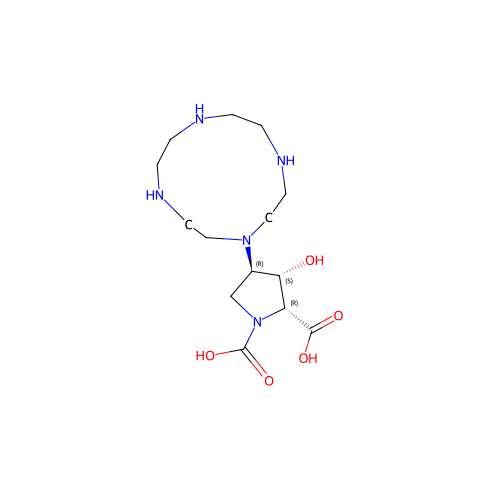 O=C(O)[C@H]1[C@@H](O)[C@H](N2CCNCCNCCNCC2)CN1C(=O)O